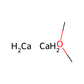 COC.[CaH2].[CaH2]